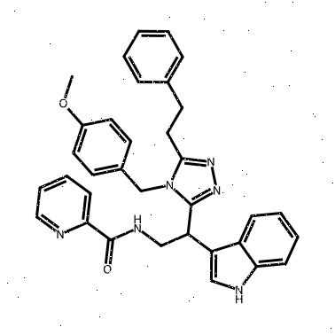 COc1ccc(Cn2c(CCc3ccccc3)nnc2C(CNC(=O)c2ccccn2)c2c[nH]c3ccccc23)cc1